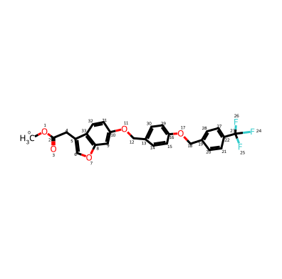 COC(=O)Cc1coc2cc(OCc3ccc(OCc4ccc(C(F)(F)F)cc4)cc3)ccc12